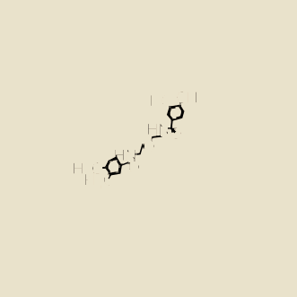 Cc1ccc(C(=O)NCCOCCNC(=O)c2ccc(C)c(C)c2)cc1C